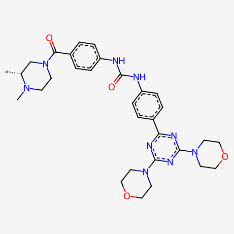 C[C@@H]1CN(C(=O)c2ccc(NC(=O)Nc3ccc(-c4nc(N5CCOCC5)nc(N5CCOCC5)n4)cc3)cc2)CCN1C